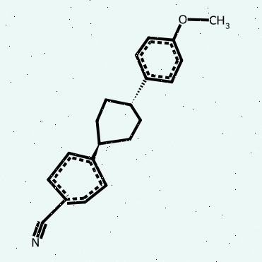 COc1ccc([C@H]2CC[C@H](c3ccc(C#N)cc3)CC2)cc1